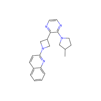 CC1CCN(c2nccnc2C2CN(c3ccc4ccccc4n3)C2)C1